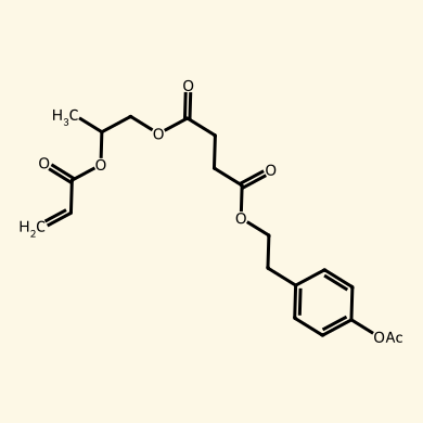 C=CC(=O)OC(C)COC(=O)CCC(=O)OCCc1ccc(OC(C)=O)cc1